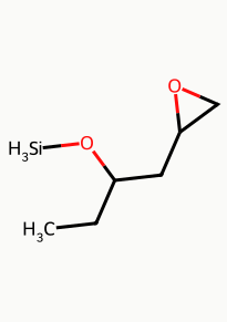 CCC(CC1CO1)O[SiH3]